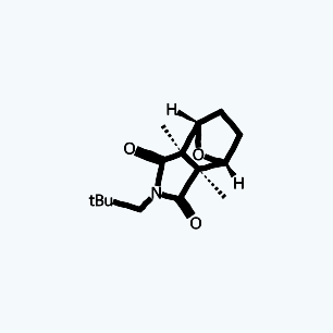 CC(C)(C)CN1C(=O)[C@@]2(C)[C@@H]3CC[C@@H](O3)[C@@]2(C)C1=O